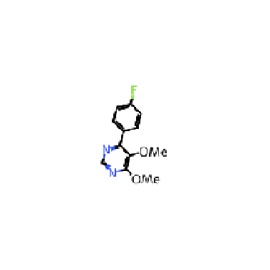 COc1ncnc(-c2ccc(F)cc2)c1OC